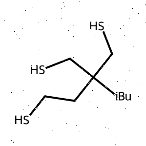 CCC(C)C(CS)(CS)CCS